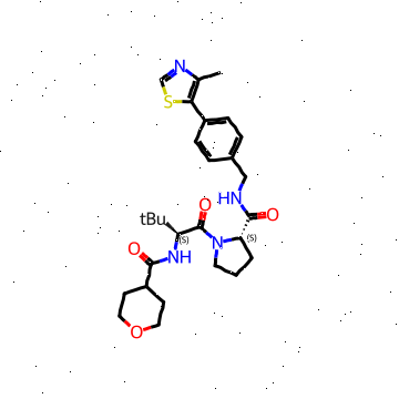 Cc1ncsc1-c1ccc(CNC(=O)[C@@H]2CCCN2C(=O)[C@@H](NC(=O)C2CCOCC2)C(C)(C)C)cc1